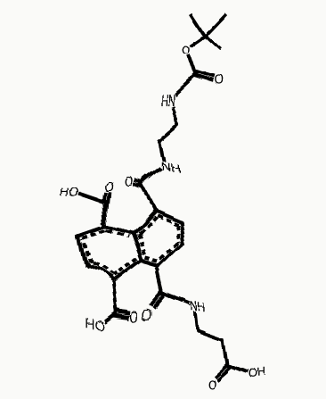 CC(C)(C)OC(=O)NCCNC(=O)c1ccc(C(=O)NCCC(=O)O)c2c(C(=O)O)ccc(C(=O)O)c12